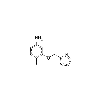 Cc1ccc(N)cc1OCc1nccs1